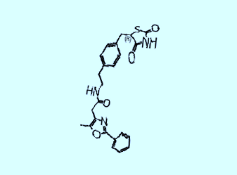 Cc1oc(-c2ccccc2)nc1CC(=O)NCCc1ccc(C[C@H]2SC(=O)NC2=O)cc1